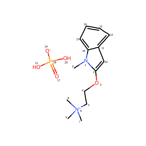 Cn1c(OCC[N+](C)(C)C)cc2ccccc21.O=P([O-])(O)O